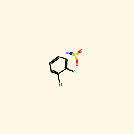 CCc1ccccc1CC.N=S(=O)=O